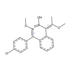 CO/N=C(\c1ccc(Cl)cc1)c1ccccc1/C(C(=O)O)=C(/C)OC